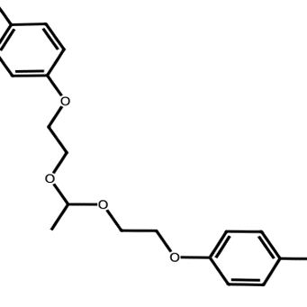 Cc1ccc(OCCOC(C)OCCOc2ccc(C)cc2)cc1